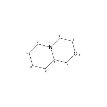 C1CCN2CCOCC2C1